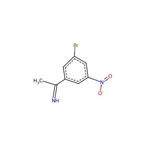 CC(=N)c1cc(Br)cc([N+](=O)[O-])c1